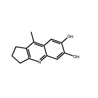 Cc1c2c(nc3cc(O)c(O)cc13)CCC2